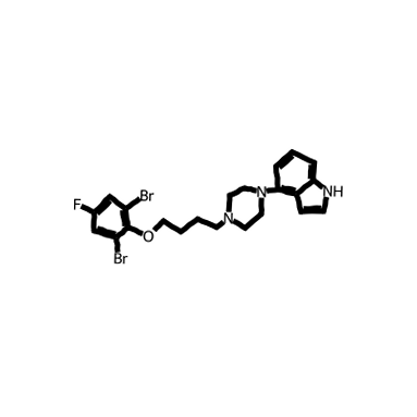 Fc1cc(Br)c(OCCCCN2CCN(c3cccc4[nH]ccc34)CC2)c(Br)c1